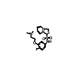 CN(C)CCOc1cc(NS(=O)(=O)C2SCN3C=CC=CN23)ccc1I